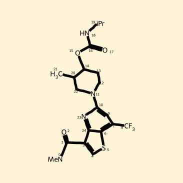 CNC(=O)c1csc2c(C(F)(F)F)cc(N3CCC(OC(=O)NC(C)C)C(C)C3)nc12